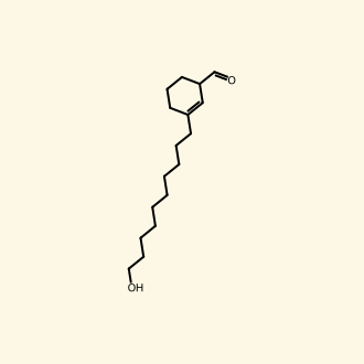 O=CC1C=C(CCCCCCCCCCO)CCC1